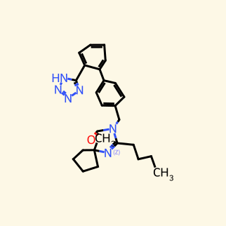 CCCC/C(=N/C1(C)CCCC1)N(C=O)Cc1ccc(-c2ccccc2-c2nnn[nH]2)cc1